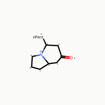 CCCCCC1CC(=O)CC2CCCN12